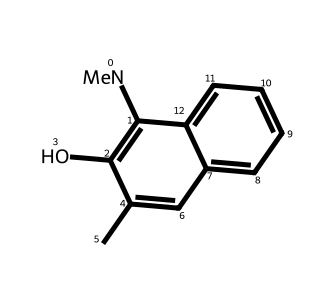 CNc1c(O)c(C)cc2ccccc12